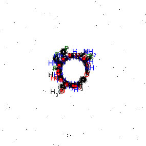 COc1ccc(C[C@@H]2NC(=O)[C@H]([C@@H](C)O)NC(=O)[C@@H]3C[C@H](F)CN3C(=O)[C@H](Cc3c[nH]c4ccc(F)cc34)NC(=O)[C@H](Cc3c[nH]c4ccc(F)cc34)NC(=O)[C@@H](C)NC(=O)C(CCCCN)NC(=O)[C@@H](NC(=O)CC(F)(F)F)CC(=O)NCCOc3ccc(cc3)C[C@@H](C(N)=O)NC(=O)[C@]3(C)CCCN3C2=O)cc1